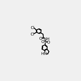 O=C(Cc1ccc(Cl)c(Cl)c1)NS(=O)(=O)c1ccc2c(c1)CCN2